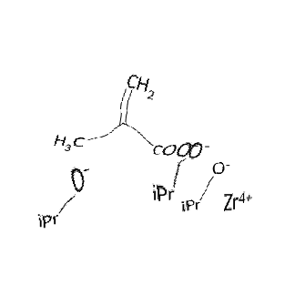 C=C(C)C(=O)[O-].CC(C)[O-].CC(C)[O-].CC(C)[O-].[Zr+4]